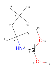 CO[SiH](NC(C)(C)CC(C)(C)C)OC